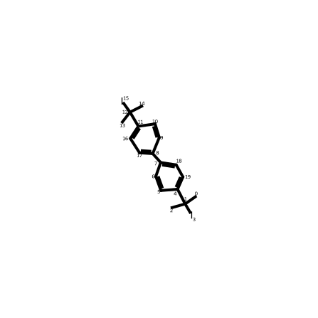 CC(C)(I)c1ccc(-c2ccc(C(C)(C)I)cc2)cc1